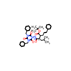 CC(C)C[C@@H](C(=O)Nn1c(=O)n(Cc2ccccc2)c(=O)n(Cc2ccccc2)c1=O)C(CC=Cc1ccccc1)C(=O)OC(C)(C)C